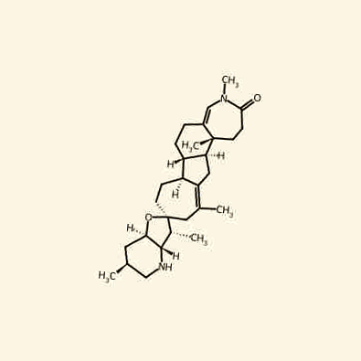 CC1=C2C[C@H]3[C@@H](CCC4=CN(C)C(=O)CC[C@@]43C)[C@@H]2CC[C@@]2(C1)O[C@@H]1C[C@H](C)CN[C@H]1[C@H]2C